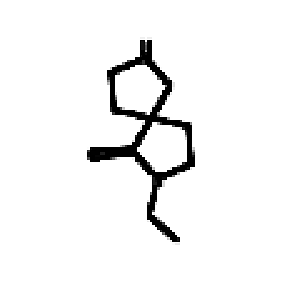 CCN1CCC2(CCNC2)C1=O